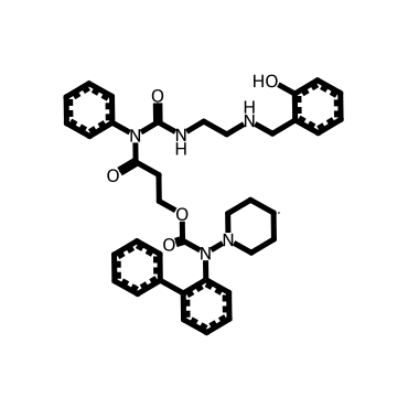 O=C(CCOC(=O)N(c1ccccc1-c1ccccc1)N1CC[CH]CC1)N(C(=O)NCCNCc1ccccc1O)c1ccccc1